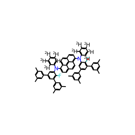 [2H]c1c([2H])c([2H])c(N(c2cc(-c3cc(C)cc(C)c3)cc(-c3cc(C)cc(C)c3)c2F)c2ccc3ccc4c(N(c5cc(-c6cc(C)cc(C)c6)cc(-c6cc(C)cc(C)c6)c5F)c5c([2H])c([2H])c([2H])c([2H])c5[2H])ccc5ccc2c3c54)c([2H])c1[2H]